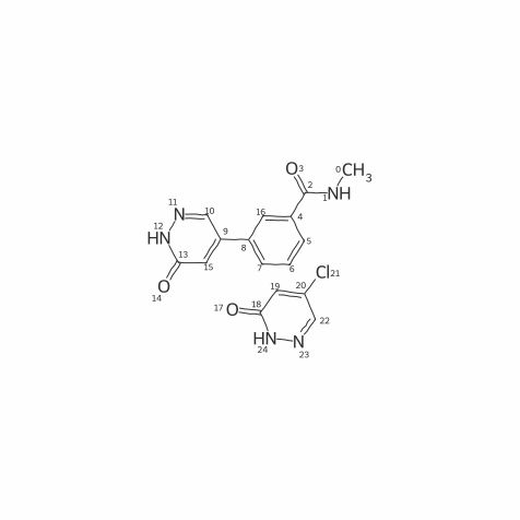 CNC(=O)c1cccc(-c2cn[nH]c(=O)c2)c1.O=c1cc(Cl)cn[nH]1